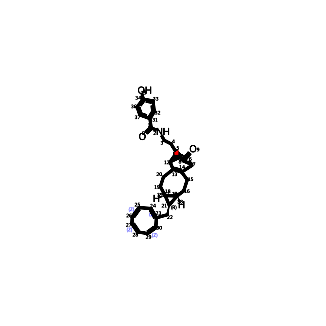 O=C(NCCC1CC2C(=O)C(=O)C1C1=C2CC[C@@H]2[C@H](CC1)[C@@H]2CC1=C/C=C\C=C/C=C\1)c1ccc(O)cc1